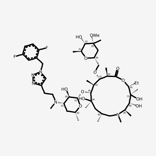 CC[C@H]1OC(=O)[C@H](C)[C@@H](OC[C@H]2C[C@@](C)(OC)[C@@H](O)[C@H](C)O2)[C@H](C)[C@@H](O[C@@H]2O[C@H](C)C[C@H](N(C)CCc3cn(Cc4cc(F)ccc4F)nn3)[C@H]2O)[C@](C)(O)C[C@@H](C)CN(C)[C@H](C)[C@@H](O)[C@]1(C)O